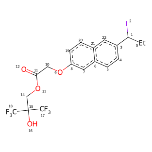 CCC(I)c1ccc2cc(OCC(=O)OCC(O)(C(F)(F)F)C(F)(F)F)ccc2c1